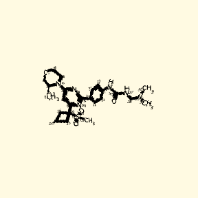 C[C@H]1COCCN1c1cc(C2(S(C)(=O)=O)CCC2)nc(-c2ccc(NC(=O)NCN(C)C)cc2)n1